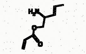 C=CC(=O)OCC(N)C=CC